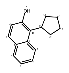 Oc1ccc2ccccc2c1C1CCCC1